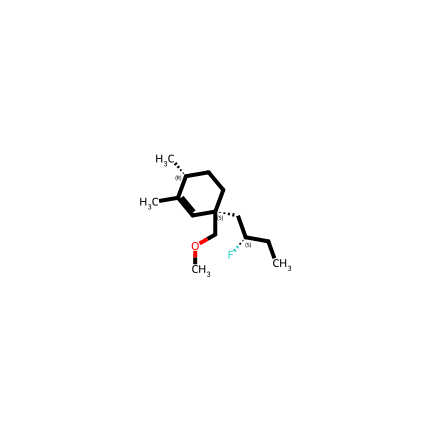 CC[C@H](F)C[C@]1(COC)C=C(C)[C@H](C)CC1